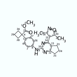 COC(=O)C1(c2ccc(Nc3nc4c(c(-c5c(C)noc5C)n3)CCC4)cc2)CCC1